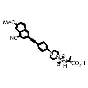 COc1ccc2cc(C#Cc3ccc(N4CCN(S(=O)(=O)NC(C)C(=O)O)CC4)cc3)cc(C#N)c2c1